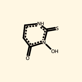 O=c1cc[nH]c(=S)n1O